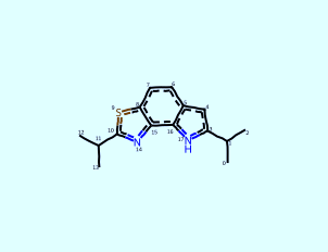 CC(C)c1cc2ccc3sc(C(C)C)nc3c2[nH]1